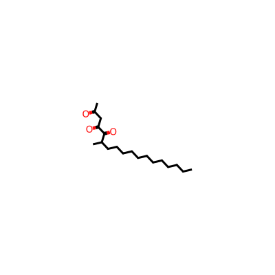 CCCCCCCCCCCCC(C)C(=O)C(=O)CC(C)=O